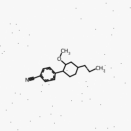 CCCC1CCC(c2ccc(C#N)cc2)C(OC)C1